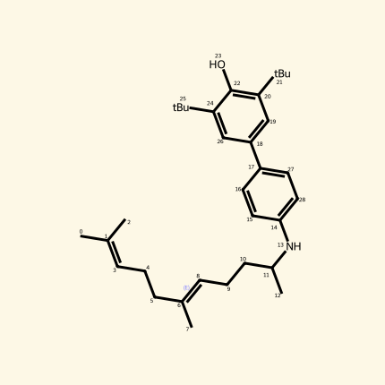 CC(C)=CCC/C(C)=C/CCC(C)Nc1ccc(-c2cc(C(C)(C)C)c(O)c(C(C)(C)C)c2)cc1